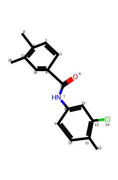 Cc1ccc(C(=O)Nc2ccc(C)c(Cl)c2)cc1C